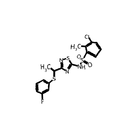 Cc1c(Cl)cccc1S(=O)(=O)Nc1nc(C(C)Sc2cccc(F)c2)ns1